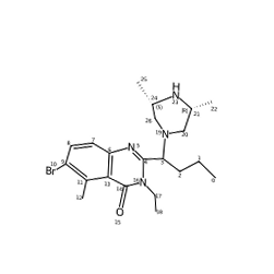 CCCC(c1nc2ccc(Br)c(C)c2c(=O)n1CC)N1C[C@@H](C)N[C@@H](C)C1